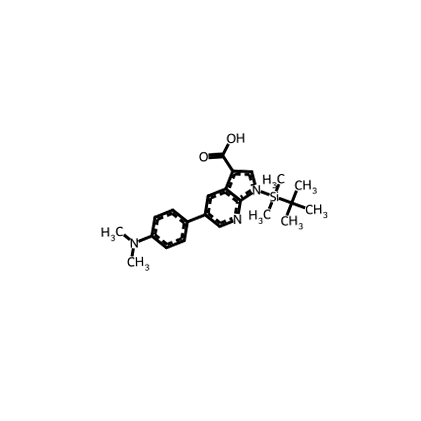 CN(C)c1ccc(-c2cnc3c(c2)c(C(=O)O)cn3[Si](C)(C)C(C)(C)C)cc1